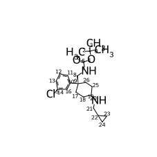 CC(C)(C)OC(=O)NC[C@]1(c2cccc(Cl)c2)CC[C@H](NCC2CC2)CC1